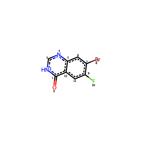 O=c1[nH]cnc2cc(Br)c(F)cc12